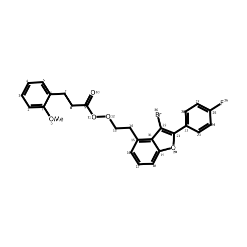 COc1ccccc1CCC(=O)OOCCc1cccc2oc(-c3ccc(F)cc3)c(Br)c12